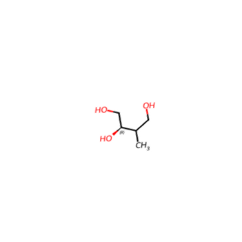 CC(CO)[C@@H](O)CO